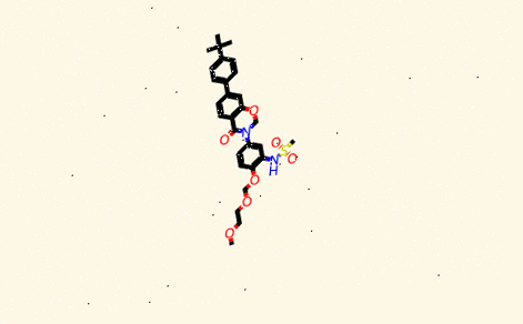 COCCOCOc1ccc(N2COc3cc(-c4ccc(C(C)(C)C)cc4)ccc3C2=O)cc1NS(C)(=O)=O